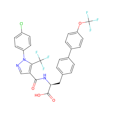 O=C(N[C@@H](Cc1ccc(-c2ccc(OC(F)(F)F)cc2)cc1)C(=O)O)c1cnn(-c2ccc(Cl)cc2)c1C(F)(F)F